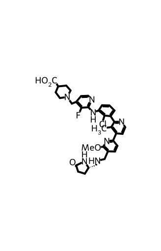 COc1nc(-c2ccnc(-c3cccc(Nc4nccc(CN5CCC(C(=O)O)CC5)c4F)c3Cl)c2C)ccc1CNC[C@@H]1CCC(=O)N1